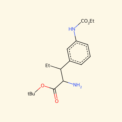 CCOC(=O)Nc1cccc(C(CC)C(N)C(=O)OC(C)(C)C)c1